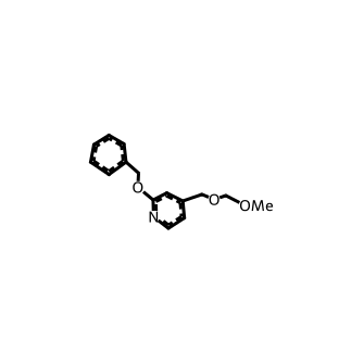 COCOCc1ccnc(OCc2ccccc2)c1